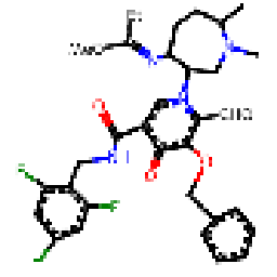 CC/C(=N\C1CCC(C)N(C)CC1n1cc(C(=O)NCc2c(F)cc(F)cc2F)c(=O)c(OCc2ccccc2)c1C=O)OC